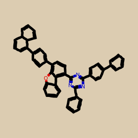 C1=CC2C=CC=C(c3ccc(-c4ccc(-c5nc(-c6ccccc6)nc(-c6ccc(-c7ccccc7)cc6)n5)c5c4oc4ccccc45)cc3)C2C=C1